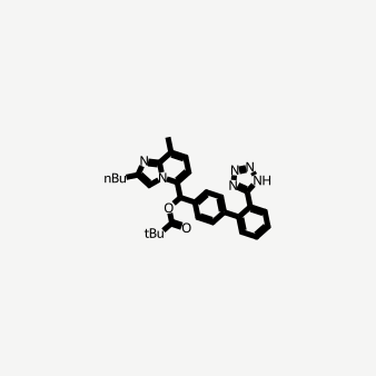 CCCCc1cn2c(C(OC(=O)C(C)(C)C)c3ccc(-c4ccccc4-c4nnn[nH]4)cc3)ccc(C)c2n1